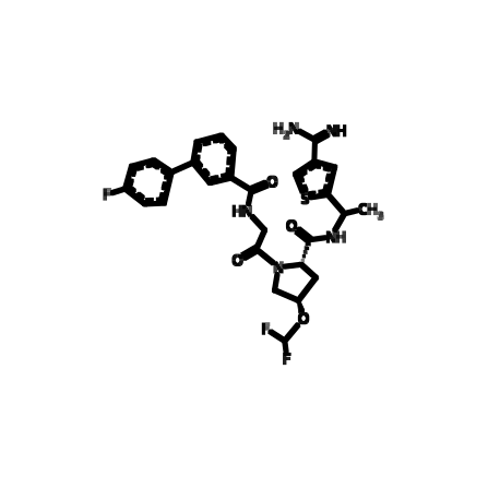 CC(NC(=O)[C@@H]1C[C@@H](OC(F)F)CN1C(=O)CNC(=O)c1cccc(-c2ccc(F)cc2)c1)c1cc(C(=N)N)cs1